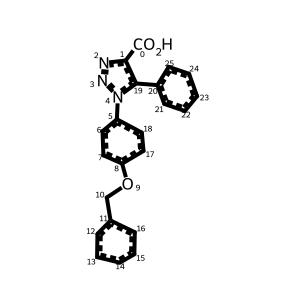 O=C(O)c1nnn(-c2ccc(OCc3ccccc3)cc2)c1-c1ccccc1